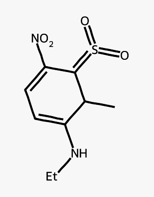 CCNC1=CC=C([N+](=O)[O-])C(=S(=O)=O)C1C